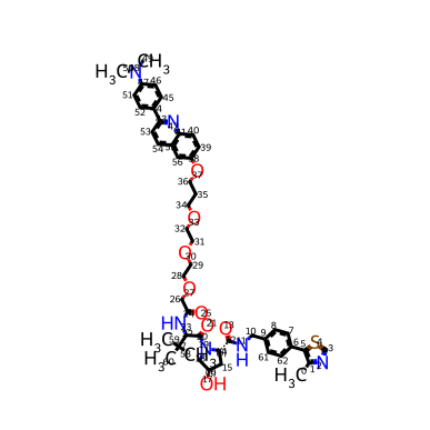 Cc1ncsc1-c1ccc(CNC(=O)[C@@H]2C[C@@H](O)CN2C(=O)C(NC(=O)COCCOCCOCCCOc2ccc3nc(-c4ccc(N(C)C)cc4)ccc3c2)C(C)(C)C)cc1